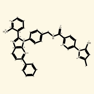 Cc1cc(O)n(-c2ccc(C(=O)NCc3ccc(-n4c(-c5cccnc5N)nc5ccc(-c6ccccc6)nc54)cc3)nc2)n1